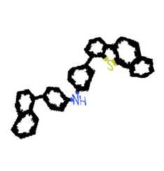 c1ccc2c(-c3ccc(Nc4ccc(-c5cccc6c5sc5c7ccccc7ccc65)cc4)cc3)cccc2c1